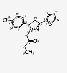 CCC(=O)CN1N=C(c2cccs2)CC1c1ccc(Cl)cc1